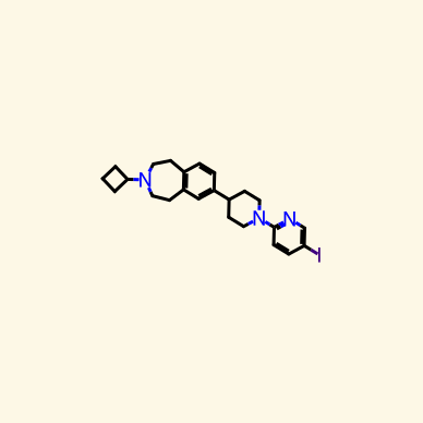 Ic1ccc(N2CCC(c3ccc4c(c3)CCN(C3CCC3)CC4)CC2)nc1